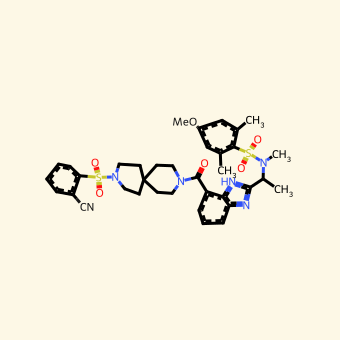 COc1cc(C)c(S(=O)(=O)N(C)C(C)c2nc3cccc(C(=O)N4CCC5(CC4)CCN(S(=O)(=O)c4ccccc4C#N)CC5)c3[nH]2)c(C)c1